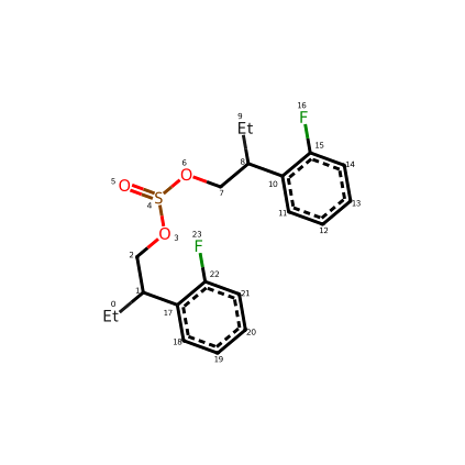 CCC(COS(=O)OCC(CC)c1ccccc1F)c1ccccc1F